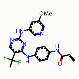 C=CC(=O)Nc1ccc(Nc2nc(Nc3cncc(OC)c3)ncc2C(C)(F)F)cc1